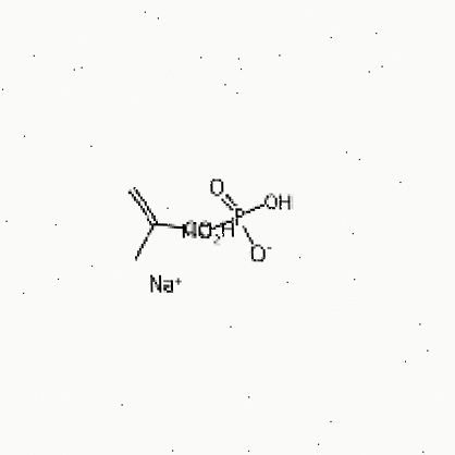 C=C(C)C(=O)O.O=P([O-])(O)O.[Na+]